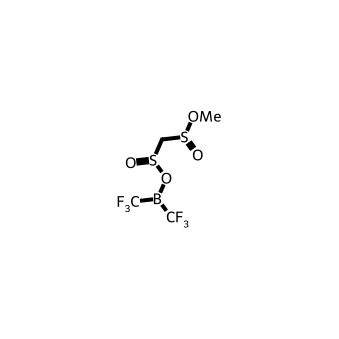 COS(=O)CS(=O)OB(C(F)(F)F)C(F)(F)F